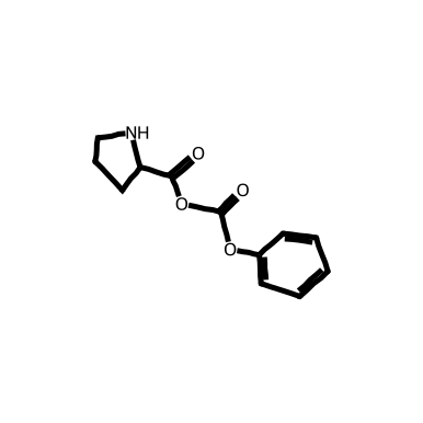 O=C(OC(=O)C1CCCN1)Oc1ccccc1